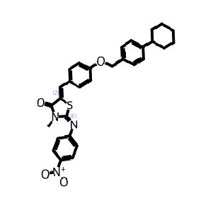 CN1C(=O)/C(=C/c2ccc(OCc3ccc(C4CCCCC4)cc3)cc2)S/C1=N/c1ccc([N+](=O)[O-])cc1